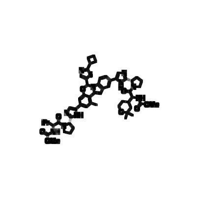 COC(=O)NC(C(=O)N1CCC[C@H]1c1ncc(-c2cc(C)c3c(c2)OC(c2cnc(C4CCC4)s2)n2c-3cc3cc(-c4cnc([C@@H]5CCCN5C(=O)C(NC(=O)OC)C5CCOC(C)(C)C5)[nH]4)ccc32)[nH]1)C(C)C